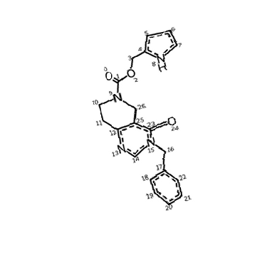 O=C(OCc1ccc[nH]1)N1CCc2ncn(Cc3ccccc3)c(=O)c2C1